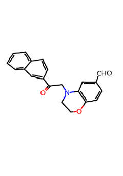 O=Cc1ccc2c(c1)N(CC(=O)c1ccc3ccccc3c1)CCO2